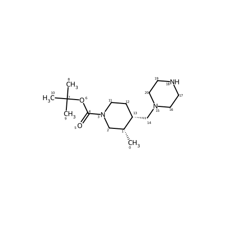 C[C@@H]1CN(C(=O)OC(C)(C)C)CC[C@@H]1CN1CCNCC1